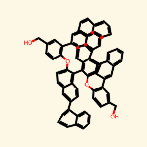 OCc1ccc(Oc2ccc3cc(-c4cccc5ccccc45)ccc3c2-c2c(Oc3ccc(CO)cc3-c3ccc4ccccc4c3)ccc3cc(-c4cccc5ccccc45)ccc23)c(-c2ccc3ccccc3c2)c1